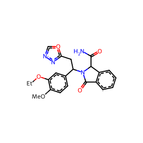 CCOc1cc(C(Cc2nnco2)N2C(=O)c3[c]cccc3C2C(N)=O)ccc1OC